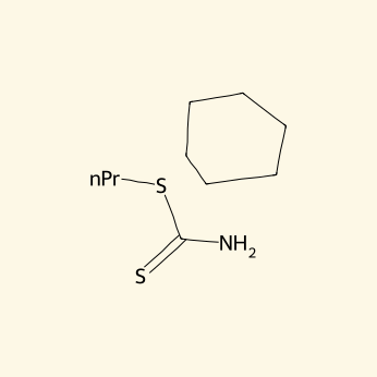 C1CCCCC1.CCCSC(N)=S